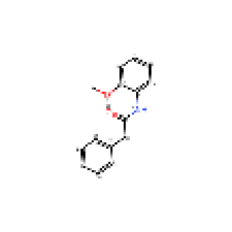 COc1cc[c]cc1NC(=O)Cc1ccccc1